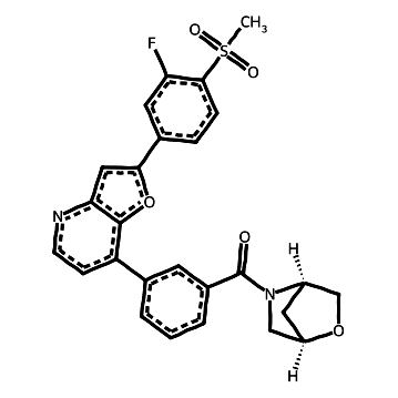 CS(=O)(=O)c1ccc(-c2cc3nccc(-c4cccc(C(=O)N5C[C@H]6C[C@@H]5CO6)c4)c3o2)cc1F